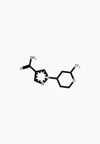 NC(=O)c1cnn(C2CCOC(C(F)(F)F)C2)c1